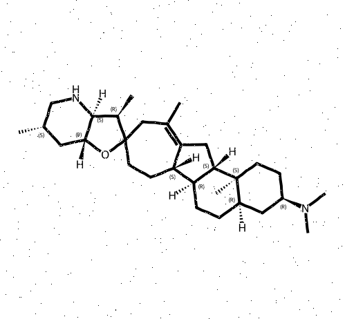 CC1=C2C[C@H]3[C@@H](CC[C@@H]4C[C@H](N(C)C)CC[C@@]43C)[C@@H]2CCC2(C1)O[C@@H]1C[C@H](C)CN[C@H]1[C@H]2C